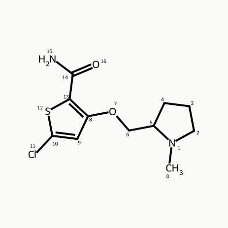 CN1CCCC1COc1cc(Cl)sc1C(N)=O